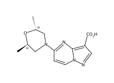 C[C@@H]1CN(c2ccn3ncc(C(=O)O)c3n2)C[C@@H](C)O1